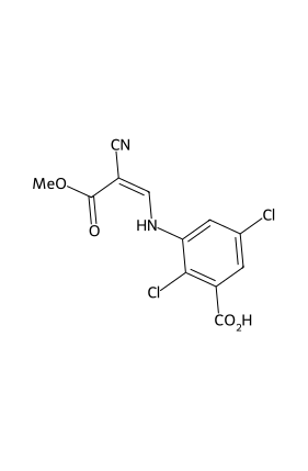 COC(=O)C(C#N)=CNc1cc(Cl)cc(C(=O)O)c1Cl